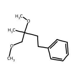 COCC(C)(CCc1ccccc1)OC